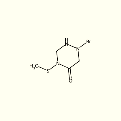 CSN1CNN(Br)CC1=O